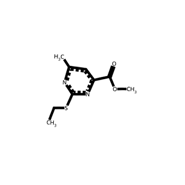 CCSc1nc(C)cc(C(=O)OC)n1